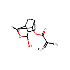 C=C(C)C(=O)OC1C2CC3C(O)O[C@@H]1C3C2